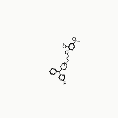 COc1cc(C(C)=O)ccc1OCCCN1CCC(C(c2ccccc2)c2ccc(F)cc2)CC1